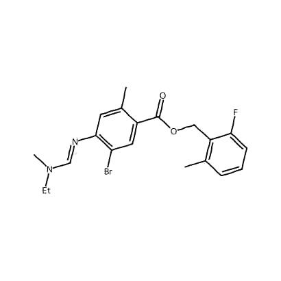 CCN(C)/C=N/c1cc(C)c(C(=O)OCc2c(C)cccc2F)cc1Br